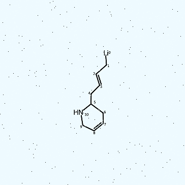 [Li][CH2]C=CCC1CC=CCN1